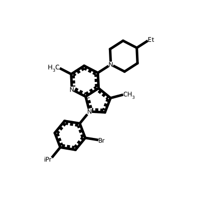 CCC1CCN(c2cc(C)nc3c2c(C)cn3-c2ccc(C(C)C)cc2Br)CC1